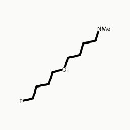 CNCCCCOCCCCF